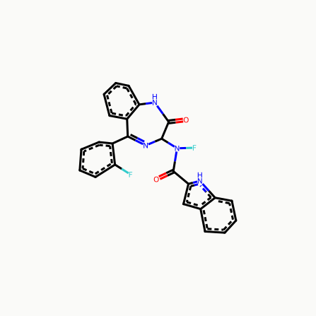 O=C1Nc2ccccc2C(c2ccccc2F)=NC1N(F)C(=O)c1cc2ccccc2[nH]1